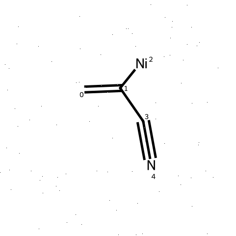 C=[C]([Ni])C#N